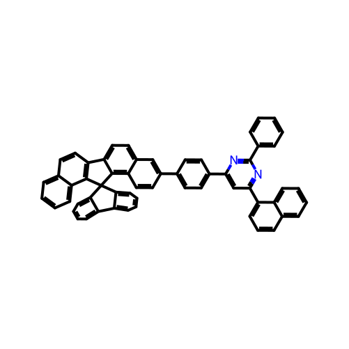 c1ccc(-c2nc(-c3ccc(-c4ccc5c6c(ccc5c4)-c4ccc5ccccc5c4C64c5ccccc5-c5ccccc54)cc3)cc(-c3cccc4ccccc34)n2)cc1